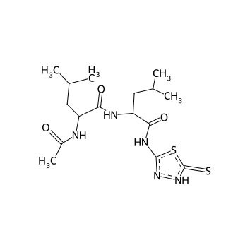 CC(=O)NC(CC(C)C)C(=O)NC(CC(C)C)C(=O)Nc1n[nH]c(=S)s1